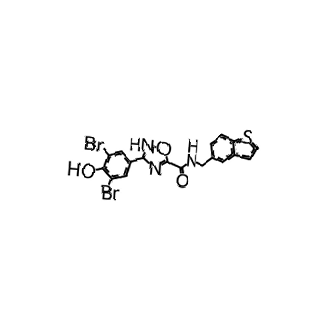 O=C(NCc1ccc2sccc2c1)C1=NC(c2cc(Br)c(O)c(Br)c2)NO1